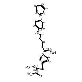 CO[C@@H](Cc1ccc(/C(CCCCOc2ccc(-c3ccccc3)cc2)=N\O)cc1)C(=O)O